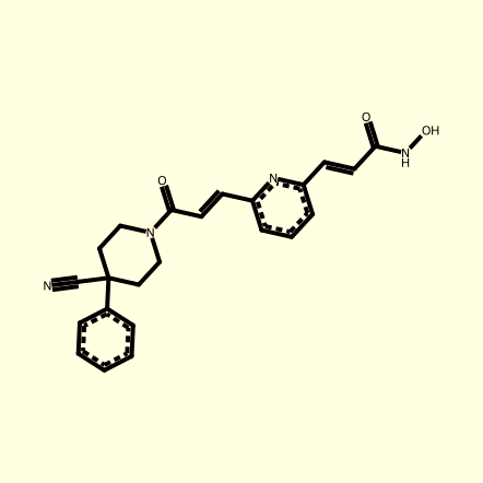 N#CC1(c2ccccc2)CCN(C(=O)C=Cc2cccc(C=CC(=O)NO)n2)CC1